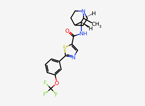 C[C@H]1[C@H](NC(=O)c2cnc(-c3cccc(OC(F)(F)F)c3)s2)C2CCN1CC2